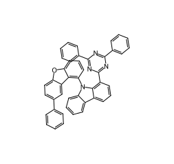 c1ccc(-c2ccc3oc4cccc(-n5c6ccccc6c6cccc(-c7nc(-c8ccccc8)nc(-c8ccccc8)n7)c65)c4c3c2)cc1